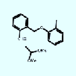 COC(C)OC.Cc1ccccc1OCc1ccccc1C=O